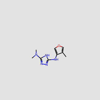 Cc1cocc1Nc1nnc(N(C)C)[nH]1